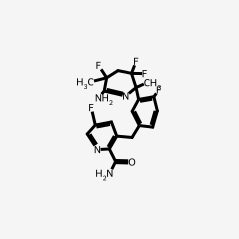 CC1(F)CC(F)(F)C(C)(c2cc(Cc3cc(F)cnc3C(N)=O)ccc2F)N=C1N